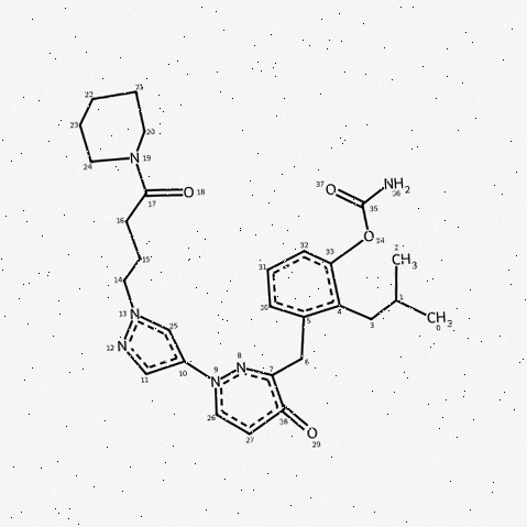 CC(C)Cc1c(Cc2nn(-c3cnn(CCCC(=O)N4CCCCC4)c3)ccc2=O)cccc1OC(N)=O